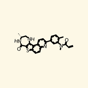 C=CC(=O)N(C)c1cc(-c2ccc3c(ccc4sc5c(c43)NC[C@@H](C)NC5=O)n2)ccc1C